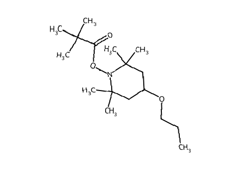 CCCOC1CC(C)(C)N(OC(=O)C(C)(C)C)C(C)(C)C1